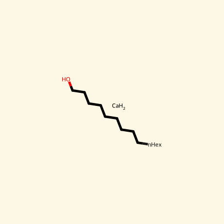 CCCCCCCCCCCCCCCO.[CaH2]